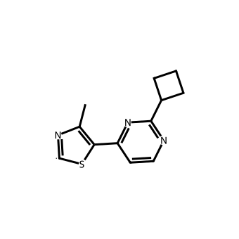 Cc1n[c]sc1-c1ccnc(C2CCC2)n1